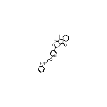 O=C(CN1C(=O)NC2(CCCCC2)C1=O)c1ccc(OCCNc2ccccc2)nc1